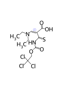 CCN(/C=C(/C(=O)O)C(=S)NC(=O)OCC(Cl)(Cl)Cl)CC